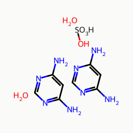 Nc1cc(N)ncn1.Nc1cc(N)ncn1.O.O.O=S(=O)(O)O